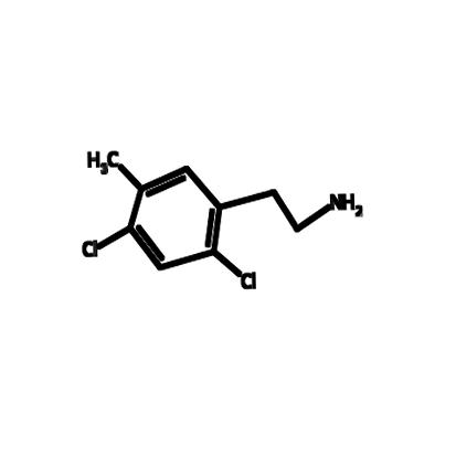 Cc1cc(CCN)c(Cl)cc1Cl